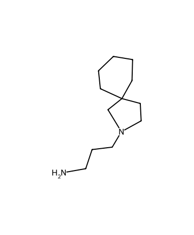 NCCCN1CCC2(CCCCC2)C1